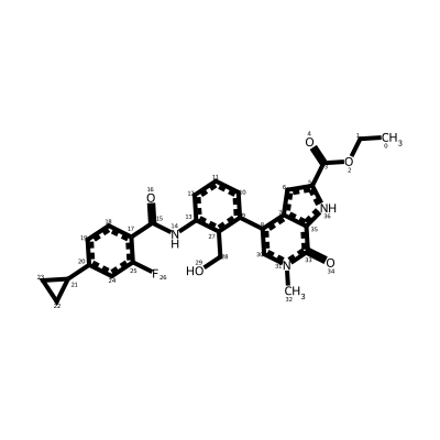 CCOC(=O)c1cc2c(-c3cccc(NC(=O)c4ccc(C5CC5)cc4F)c3CO)cn(C)c(=O)c2[nH]1